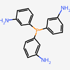 Nc1cccc(P(c2cccc(N)c2)c2cccc(N)c2)c1